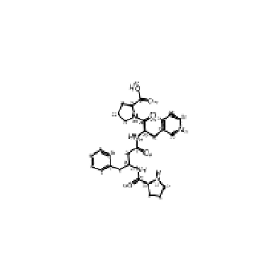 O=C(CC(Cc1ccccc1)NC(=O)C1CCCN1)NC(Cc1cccnc1)C(=O)N1CCCC1C(=O)O